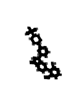 CS(=O)(=O)N1CCN(c2cc(-c3n[nH]c4ccc(-c5c(O)ccnc5F)cc34)ccn2)CC1